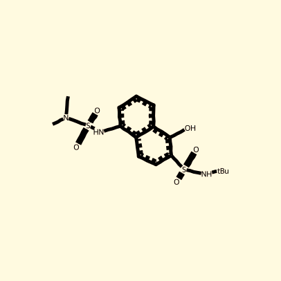 CN(C)S(=O)(=O)Nc1cccc2c(O)c(S(=O)(=O)NC(C)(C)C)ccc12